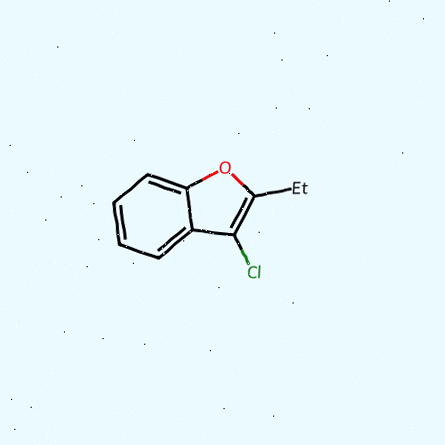 CCc1oc2ccccc2c1Cl